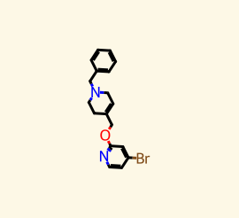 Brc1ccnc(OCC2=CCN(Cc3ccccc3)CC2)c1